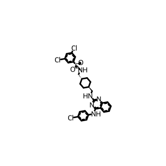 O=S(=O)(NC[C@H]1CC[C@H](CNc2nc(Nc3ccc(Cl)cc3)c3ccccc3n2)CC1)c1cc(Cl)cc(Cl)c1